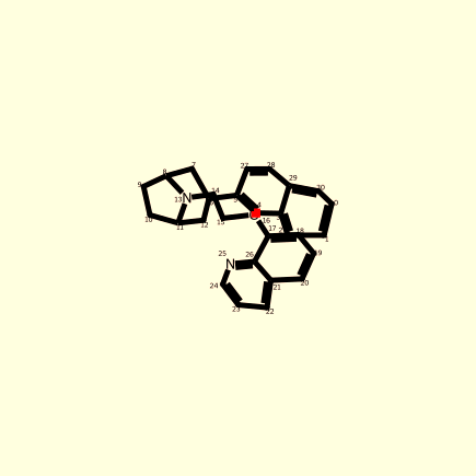 c1ccc2cc(C3CC4CCC(C3)N4CCOc3cccc4cccnc34)ccc2c1